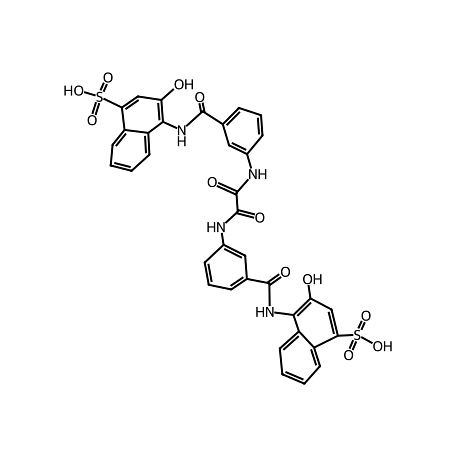 O=C(Nc1cccc(C(=O)Nc2c(O)cc(S(=O)(=O)O)c3ccccc23)c1)C(=O)Nc1cccc(C(=O)Nc2c(O)cc(S(=O)(=O)O)c3ccccc23)c1